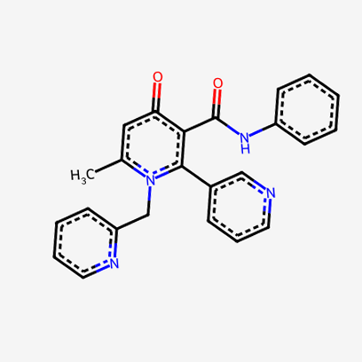 Cc1cc(=O)c(C(=O)Nc2ccccc2)c(-c2cccnc2)n1Cc1ccccn1